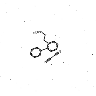 CCCCCCCCCCCCc1ccccc1-c1ccccc1.N#CC#N